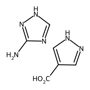 Nc1nc[nH]n1.O=C(O)c1cn[nH]c1